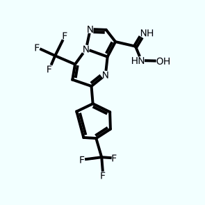 N=C(NO)c1cnn2c(C(F)(F)F)cc(-c3ccc(C(F)(F)F)cc3)nc12